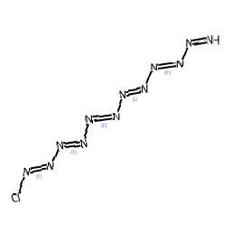 N=N/N=N/N=N/N=N/N=N/N=N/Cl